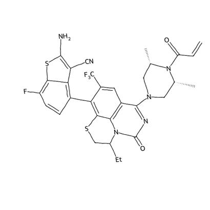 C=CC(=O)N1[C@H](C)CN(c2nc(=O)n3c4c(c(-c5ccc(F)c6sc(N)c(C#N)c56)c(C(F)(F)F)cc24)SCC3CC)C[C@@H]1C